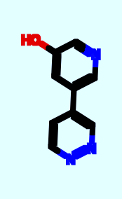 Oc1cncc(-c2ccnnc2)c1